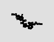 CCCCCCOCCc1cccc(-c2csc(NC(=O)c3cc(F)c(C=C(OC)C(=O)O)c(F)c3)n2)c1OC